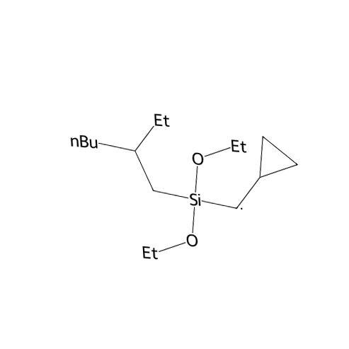 CCCCC(CC)C[Si]([CH]C1CC1)(OCC)OCC